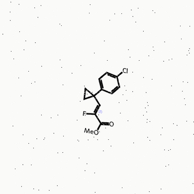 COC(=O)/C(F)=C/C1(c2ccc(Cl)cc2)CC1